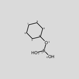 OB(O)OC1CCCCC1